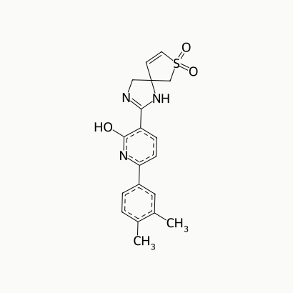 Cc1ccc(-c2ccc(C3=NCC4(C=CS(=O)(=O)C4)N3)c(O)n2)cc1C